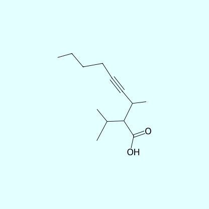 CCCCC#CC(C)C(C(=O)O)C(C)C